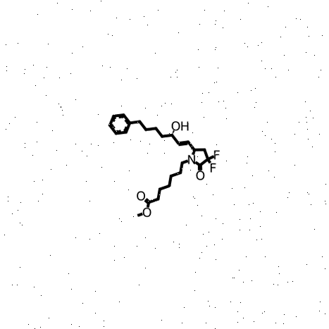 COC(=O)CCCCCCN1C(=O)C(F)(F)CC1/C=C/[C@@H](O)CCCCc1ccccc1